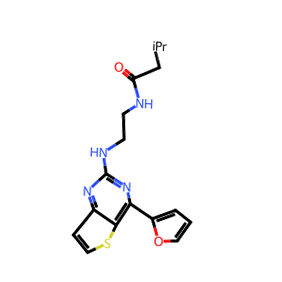 CC(C)CC(=O)NCCNc1nc(-c2ccco2)c2sccc2n1